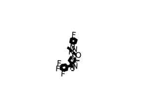 Cc1nc(C(=O)N2CCc3c(nn(C)c3-c3cc(F)c(F)c(F)c3)[C@@H]2C)nn1-c1ccc(F)cc1